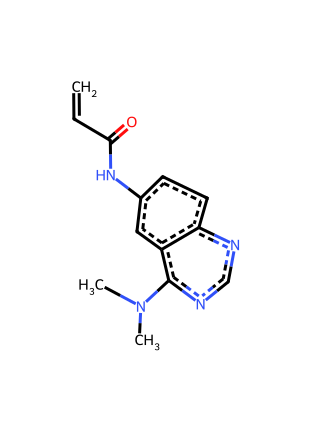 C=CC(=O)Nc1ccc2ncnc(N(C)C)c2c1